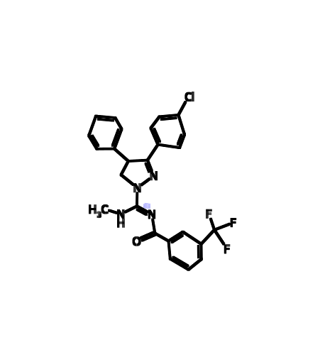 CN/C(=N\C(=O)c1cccc(C(F)(F)F)c1)N1CC(c2ccccc2)C(c2ccc(Cl)cc2)=N1